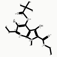 CCOC(=O)c1c(O)c2c(OC(=O)C(C)(C)C)c(Br)c(CC)nc2n1C